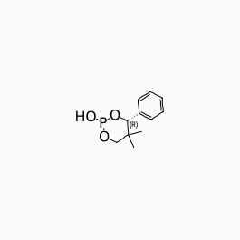 CC1(C)COP(O)O[C@@H]1c1ccccc1